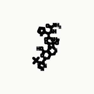 CO[C@@]1(NC(=O)C(NC(N)=O)c2cccs2)C(=O)N2C(C(=O)O)=C(CSc3nncn3C(C)(C)C)CSC21